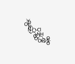 CC(C)(C)OC(=O)N1Cc2cc(Cl)c(C(=O)NC(Cc3cccc(S(C)(=O)=O)c3)C(=O)O)c3ccn(c23)C1